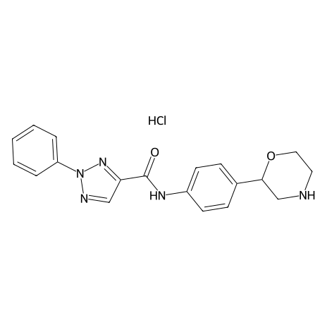 Cl.O=C(Nc1ccc(C2CNCCO2)cc1)c1cnn(-c2ccccc2)n1